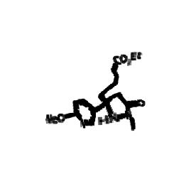 CCOC(=O)CCCC1(c2ccc(OC)nc2)CC(=O)N(C)N1